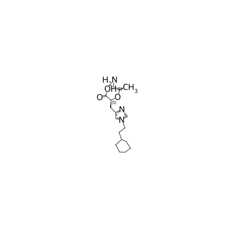 C[C@H](CN)O[C@@H](Cc1cn(CCC2CCCCC2)cn1)C(=O)O